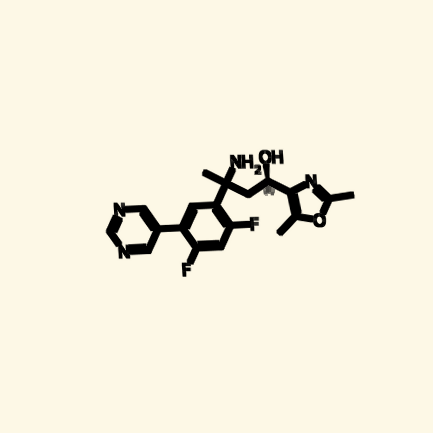 Cc1nc([C@H](O)CC(C)(N)c2cc(-c3cncnc3)c(F)cc2F)c(C)o1